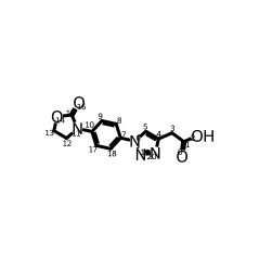 O=C(O)Cc1cn(-c2ccc(N3CCOC3=O)cc2)nn1